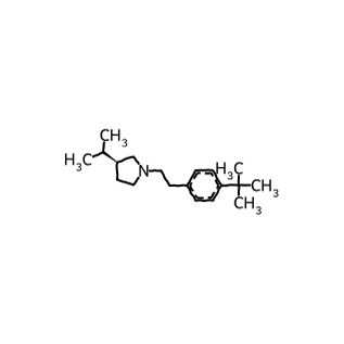 CC(C)[C@@H]1CCN(CCc2ccc(C(C)(C)C)cc2)C1